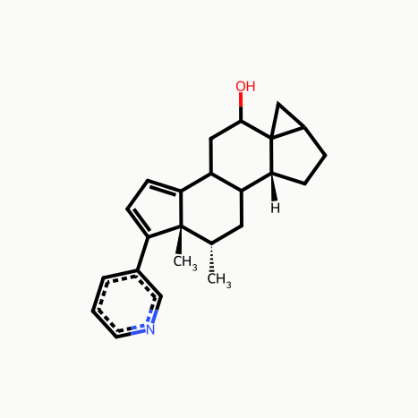 C[C@H]1CC2C(CC(O)C34CC3CC[C@H]24)C2=CC=C(c3cccnc3)[C@]21C